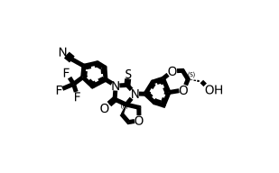 N#Cc1ccc(N2C(=O)[C@]3(CCOC3)N(c3ccc4c(c3)OC[C@H](CO)O4)C2=S)cc1C(F)(F)F